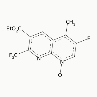 CCOC(=O)c1cc2c(C)c(F)c[n+]([O-])c2nc1C(F)(F)F